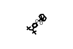 CC(C)(C)CC(c1ccc(OC(=O)C23CC4CC(CC(C4)C2)C3)cc1)C(C)(C)C